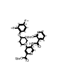 COC(=O)c1cc(N2CCC(Oc3ccc(F)cc3F)CC2)c(NC(=O)c2cccnc2OC)cn1